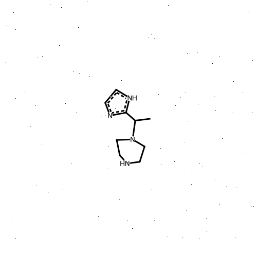 CC(c1ncc[nH]1)N1CCNCC1